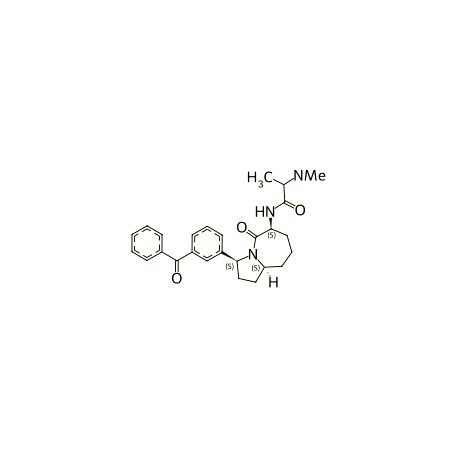 CNC(C)C(=O)N[C@H]1CCC[C@H]2CC[C@@H](c3cccc(C(=O)c4ccccc4)c3)N2C1=O